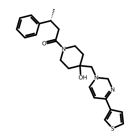 C[C@H](CC(=O)N1CCC(O)(CN2C=CC(c3ccsc3)=NC2)CC1)c1ccccc1